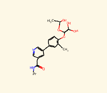 Cc1cc(-c2cncc(C(=O)NC(C)C)c2)ccc1OC(OC(C)O)C(O)O